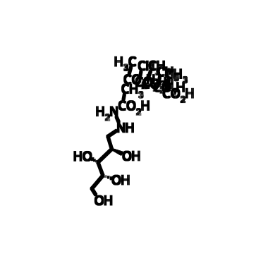 CC(=O)O.CC(=O)O.CC(=O)O.CC(=O)O.CC(=O)O.CC(=O)O.NNC[C@@H](O)[C@@H](O)[C@H](O)CO